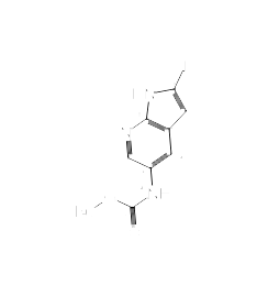 CC(C)(C)OC(=O)Nc1cnc2[nH]c(I)cc2c1